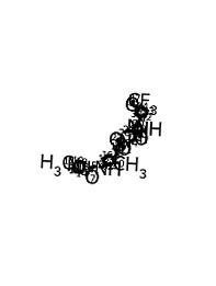 Cc1cc(NCC(=O)N2CCN(C)CC2)ccc1/C=C/S(=O)(=O)N1CCC2(CC1)N=C(c1cccc(OC(F)(F)F)c1)NC2=O